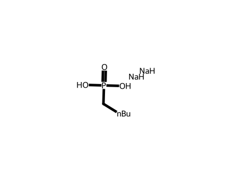 CCCCCP(=O)(O)O.[NaH].[NaH]